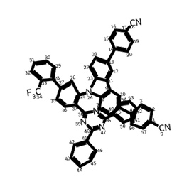 N#Cc1ccc(-c2ccc3c(c2)c2cc(-c4ccc(C#N)cc4)ccc2n3-c2cc(-c3ccccc3C(F)(F)F)ccc2-c2nc(-c3ccccc3)nc(-c3ccccc3)n2)cc1